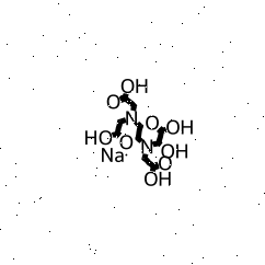 O=C(O)CN(CCN(CC(=O)O)C(O)C(=O)O)CC(=O)O.[Na]